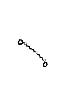 c1ccc(OCCCCCSCCCCCOc2ccccc2)cc1